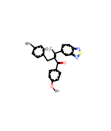 CC(C)Oc1ccc(C(=O)C(Cc2ccc(C(C)(C)C)cc2)=C(C(=O)O)c2ccc3nsnc3c2)cc1